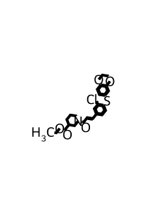 CCOC(=O)C1CCCN(C(=O)C=Cc2ccc(Sc3ccc4c(c3)OCCO4)c(Cl)c2)C1